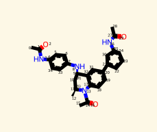 CC(=O)Nc1ccc(N[C@@H]2C[C@H](C)N(C(C)=O)c3ccc(-c4cccc(NC(C)=O)c4)cc32)cc1